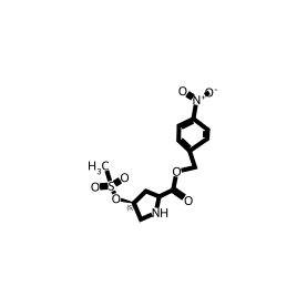 CS(=O)(=O)O[C@@H]1CNC(C(=O)OCc2ccc([N+](=O)[O-])cc2)C1